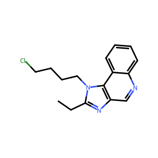 CCc1nc2cnc3ccccc3c2n1CCCCCl